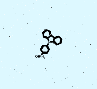 O=[PH2]c1ccc(-n2c3ccccc3c3ccccc32)cc1